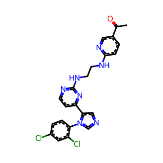 CC(=O)c1ccc(NCCNc2nccc(-c3cncn3-c3ccc(Cl)cc3Cl)n2)nc1